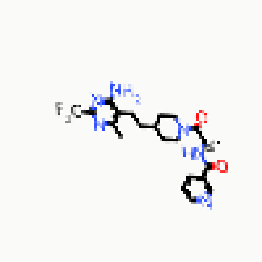 Cc1nc(C(F)(F)F)nc(N)c1CCC1CCN(C(=O)[C@H](C)NC(=O)c2cccnc2)CC1